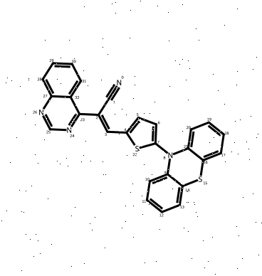 N#C/C(=C\c1ccc(N2c3ccccc3Sc3ccccc32)s1)c1ncnc2ccccc12